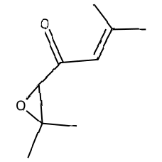 CC(C)=CC(=O)C1OC1(C)C